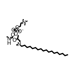 CCCCCCCCCCCCCCCCCCN(C)CC(COP(=O)([O-])OCC[N+](C)(C)C)OC(=O)NC